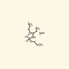 CCCOP(=O)(NCCN)ONCCN.[NaH]